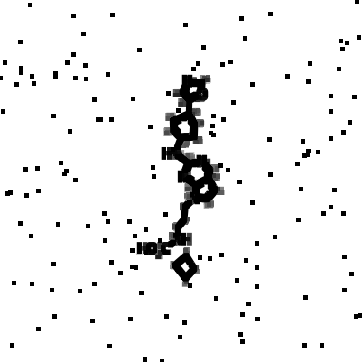 C1CCC1.O=C(O)NCCCn1ccc2cnc(Nc3ccc(-c4cnco4)cc3)nc21